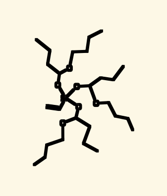 C=C[Si](OC(CCC)OCCCC)(OC(CCC)OCCCC)OC(CCC)OCCCC